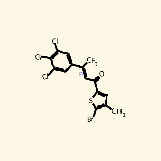 Cc1cc(C(=O)/C=C(/c2cc(Cl)c(Cl)c(Cl)c2)C(F)(F)F)sc1Br